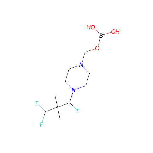 CC(C)(C(F)F)C(F)N1CCN(COB(O)O)CC1